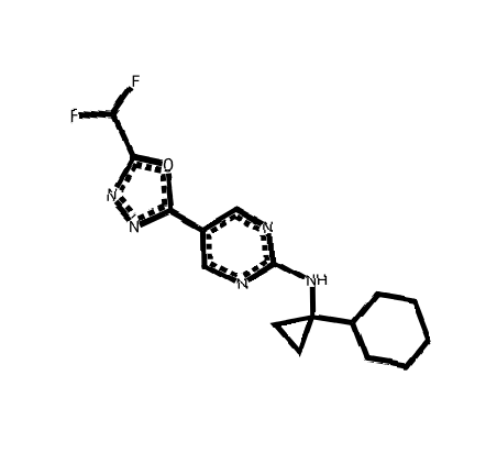 FC(F)c1nnc(-c2cnc(NC3(C4CCCCC4)CC3)nc2)o1